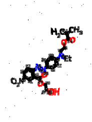 C=C(C)C(=O)OCCN(CC)c1ccc(/N=N/c2ccc([N+](=O)[O-])cc2C(=O)OCCO)cc1